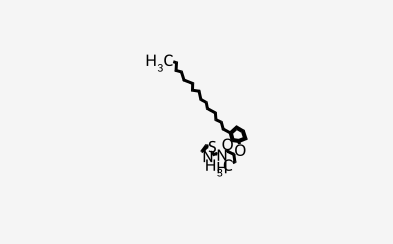 CCCCCCCCCCCCCCCc1cccc(OC(CC)C(=O)Nc2nccs2)c1